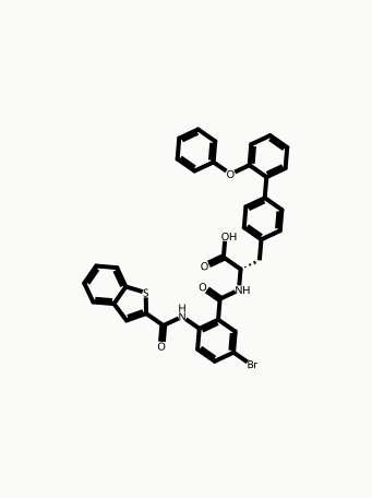 O=C(Nc1ccc(Br)cc1C(=O)N[C@@H](Cc1ccc(-c2ccccc2Oc2ccccc2)cc1)C(=O)O)c1cc2ccccc2s1